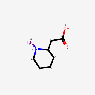 O=C(O)CC1CCCCN1P